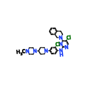 CN1CCN(C2CCN(c3ccc(Nc4ncc(Cl)c(N5CCc6ccccc6C5)n4)c(Cl)c3)CC2)CC1